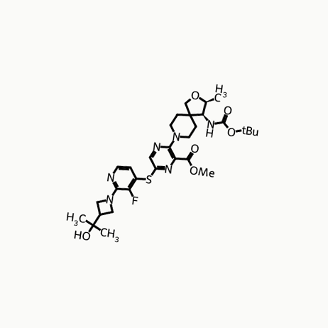 COC(=O)c1nc(Sc2ccnc(N3CC(C(C)(C)O)C3)c2F)cnc1N1CCC2(CC1)CO[C@@H](C)[C@H]2NC(=O)OC(C)(C)C